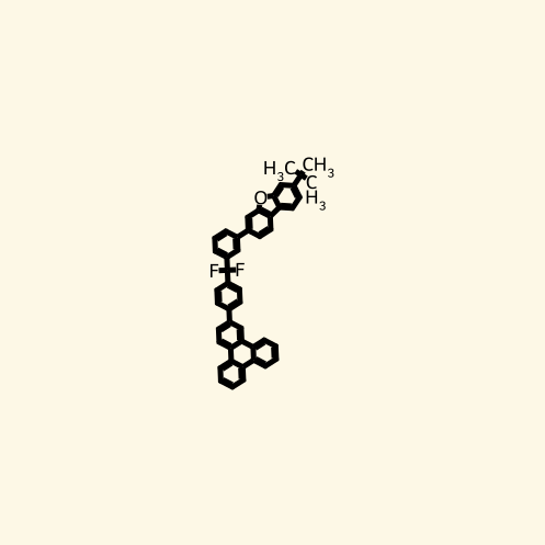 CC(C)(C)c1ccc2c(c1)oc1cc(-c3cccc(C(F)(F)c4ccc(-c5ccc6c7ccccc7c7ccccc7c6c5)cc4)c3)ccc12